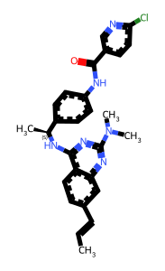 CC=Cc1ccc2c(N[C@@H](C)c3ccc(NC(=O)c4ccc(Cl)nc4)cc3)nc(N(C)C)nc2c1